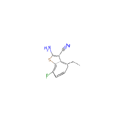 CCc1ccc(F)c2sc(N)c(C#N)c12